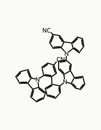 N#Cc1ccc(-n2c3ccccc3c3ccccc32)c(-c2ccccc2-n2c3ccccc3c3cc(-n4c5ccccc5c5cc(C#N)ccc54)ccc32)c1